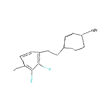 CCCC1CCC(CCc2ccc(C)c(F)c2F)CC1